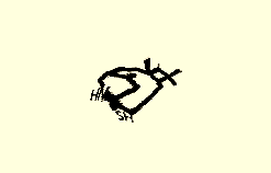 CC1CC2(S)CCC3C(C)(C)CC3(C)CCC1CN2